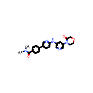 CN(C)C(=O)c1ccc(-c2ccc(Nc3cncc(N4CCOCC4=O)c3)nc2)cc1